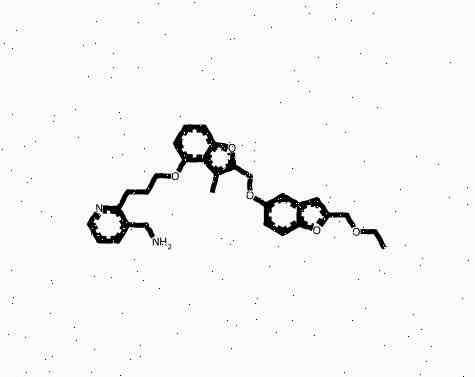 CCOCc1cc2cc(OCc3oc4cccc(OCCCc5ncccc5CN)c4c3C)ccc2o1